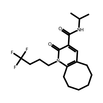 CC(C)NC(=O)c1cc2c(n(CCCC(F)(F)F)c1=O)CCCCCC2